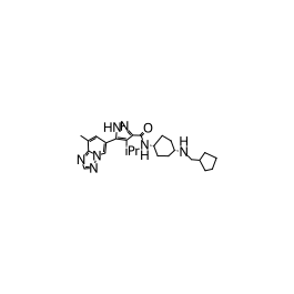 Cc1cc(-c2[nH]nc(C(=O)N[C@H]3CC[C@@H](NCC4CCCC4)CC3)c2C(C)C)cn2ncnc12